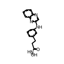 O=C(CCc1cccc(Nc2cnc3ccccc3n2)c1)NO